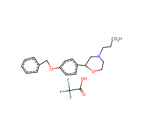 O=C(O)C(F)(F)F.O=C(O)CCN1CCOC(c2ccc(OCc3ccccc3)cc2)C1